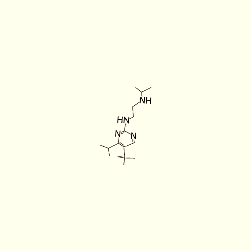 CC(C)NCCNc1ncc(C(C)(C)C)c(C(C)C)n1